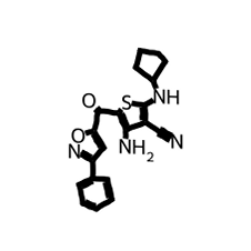 N#Cc1c(NC2CCCC2)sc(C(=O)c2cc(-c3ccccc3)no2)c1N